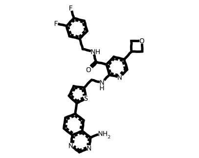 Nc1ncnc2ccc(-c3ccc(CNc4ncc(C5COC5)cc4C(=O)NCc4ccc(F)c(F)c4)s3)cc12